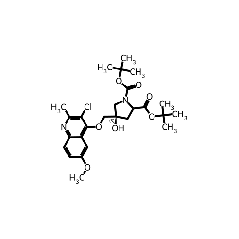 COc1ccc2nc(C)c(Cl)c(OC[C@@]3(O)CC(C(=O)OC(C)(C)C)N(C(=O)OC(C)(C)C)C3)c2c1